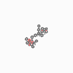 C1=C2Sc3c(-c4ccccc4-c4nc(-c5ccc(-c6ccccc6)cc5)cc(-c5ccc(-c6cccc(-c7ccc8c(c7)C7(c9ccccc9-c9ccccc97)c7cccc(-c9ccccc9-c9nc(-c%10ccccc%10)cc(-c%10ccc(-c%11ccccc%11)cc%10)n9)c7S8)c6)cc5)n4)cccc3C3(C2=CCC1)c1ccccc1-c1ccccc13